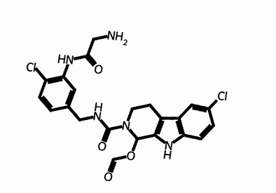 NCC(=O)Nc1cc(CNC(=O)N2CCc3c([nH]c4ccc(Cl)cc34)C2OC=O)ccc1Cl